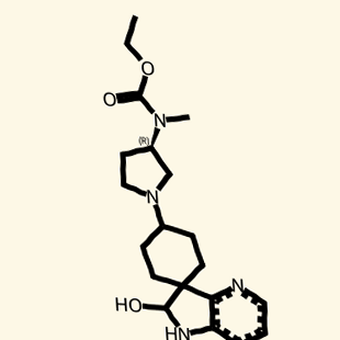 CCOC(=O)N(C)[C@@H]1CCN(C2CCC3(CC2)c2ncccc2NC3O)C1